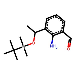 CC(O[Si](C)(C)C(C)(C)C)c1cccc(C=O)c1N